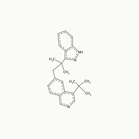 CC(C)(C)c1cncc2ccc(CC(C)(C)c3n[nH]c4ccccc34)cc12